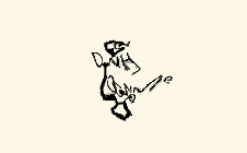 CNS(=O)(=O)c1ccccc1-c1ccc(C(=O)NC2CN3CCC2CC3)o1